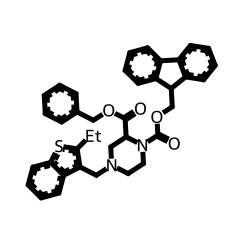 CCc1sc2ccccc2c1CN1CCN(C(=O)OCC2c3ccccc3-c3ccccc32)C(C(=O)OCc2ccccc2)C1